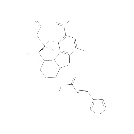 C=CCN1CC[C@]23c4c5c([N+](=O)[O-])cc(O)c4O[C@H]2[C@H](N(C)C(=O)/C=C/c2ccoc2)CC[C@H]3[C@H]1C5